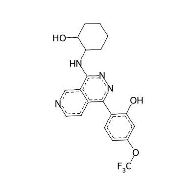 Oc1cc(OC(F)(F)F)ccc1-c1nnc(NC2CCCCC2O)c2cnccc12